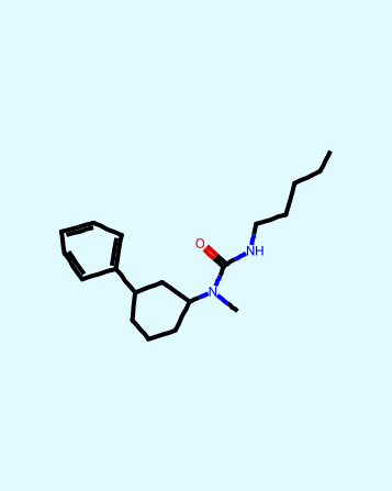 CCCCCNC(=O)N(C)C1CCCC(c2ccccc2)C1